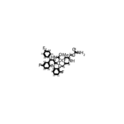 COC(=O)N[C@H](C(=O)Nc1cccc(F)c1OC[C@@H]1CN[C@H](COC(N)=O)CO1)[C@@H](c1ccc(F)cc1)c1cccc(F)c1